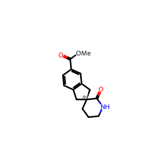 COC(=O)c1ccc2c(c1)C[C@@]1(CCCNC1=O)C2